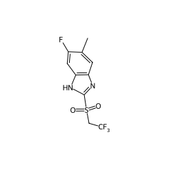 Cc1cc2nc(S(=O)(=O)CC(F)(F)F)[nH]c2cc1F